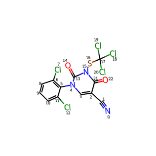 N#Cc1cn(-c2c(Cl)cccc2Cl)c(=O)n(SC(Cl)(Cl)Cl)c1=O